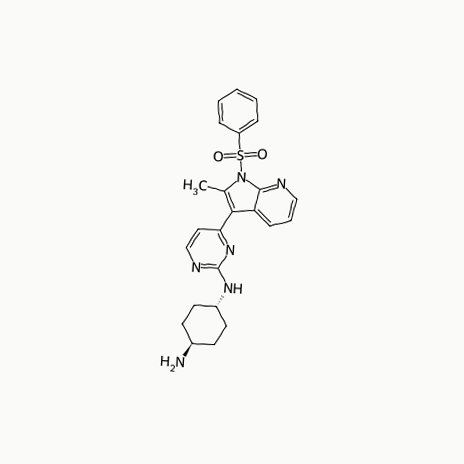 Cc1c(-c2ccnc(N[C@H]3CC[C@H](N)CC3)n2)c2cccnc2n1S(=O)(=O)c1ccccc1